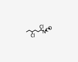 CCC(Cl)CCC(Cl)N=C=O